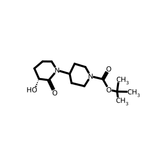 CC(C)(C)OC(=O)N1CCC(N2CCC[C@@H](O)C2=O)CC1